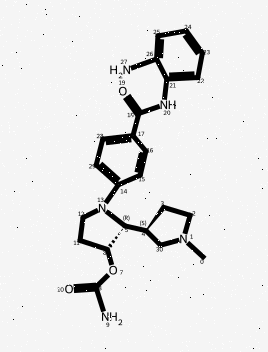 CN1CC[C@H]([C@@H]2C(OC(N)=O)CCN2c2ccc(C(=O)Nc3ccccc3N)cc2)C1